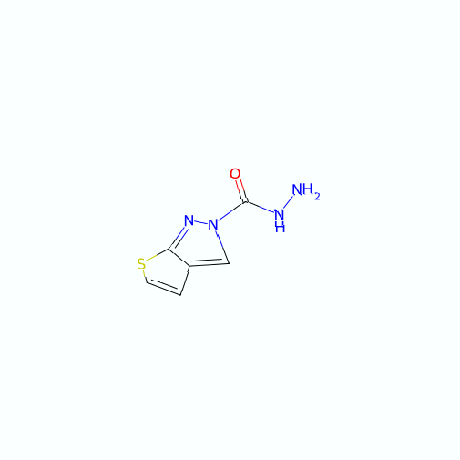 NNC(=O)n1cc2ccsc2n1